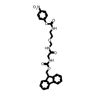 O=C(CNC(=O)OCC1c2ccccc2-c2ccccc21)NCOCCNC(=O)Oc1ccc([N+](=O)[O-])cc1